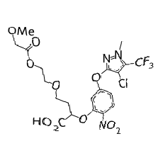 COCC(=O)OCCOCCC(Oc1cc(Oc2nn(C)c(C(F)(F)F)c2Cl)ccc1[N+](=O)[O-])C(=O)O